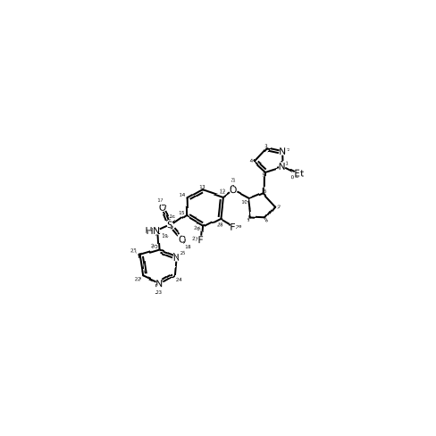 CCn1nccc1C1CCCC1Oc1ccc(S(=O)(=O)Nc2ccncn2)c(F)c1F